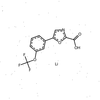 O=C(O)c1ncc(-c2cccc(OC(F)(F)F)c2)o1.[Li]